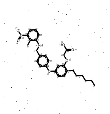 CCCCCCc1ccc(Oc2ccc(CNc3cccc([N+](=O)[O-])c3C)cc2)cc1OCC(=O)O